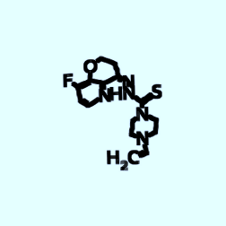 C=CN1CCN(C(=S)N/N=C2/CCOc3c(F)ccnc32)CC1